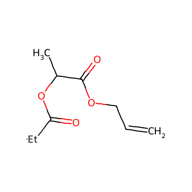 C=CCOC(=O)C(C)OC(=O)[CH]C